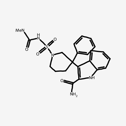 CNC(=O)NS(=O)(=O)N1CCCC(c2ccccc2)(c2c(C(N)=O)[nH]c3ccccc23)C1